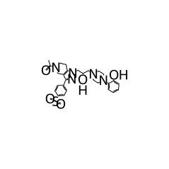 CC(=O)N1CCc2c(c(-c3ccc(S(C)(=O)=O)cc3)nn2CC(O)CN2CCN(c3ccccc3O)CC2)C1